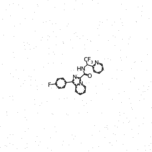 O=C(NC(c1ccccn1)C(F)(F)F)c1nc(-c2ccc(F)cc2)c2ccccn12